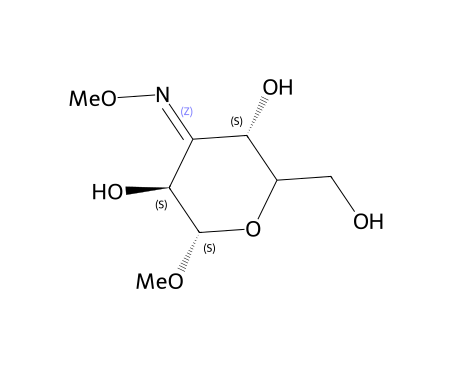 CO/N=C1/[C@H](O)C(CO)O[C@H](OC)[C@H]1O